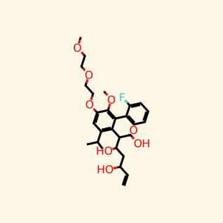 C=CC(O)CC(O)C(C(=O)O)c1c(C(C)C)cc(OCCOCCOC)c(OC)c1-c1ccccc1F